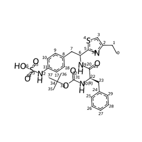 CCc1csc(C(Cc2ccc(NS(=O)(=O)O)cc2)NC(=O)[C@@H](Cc2ccccc2)NC(=O)OC(C)(C)C)n1